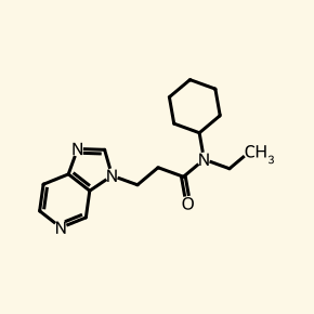 CCN(C(=O)CCn1cnc2ccncc21)C1CCCCC1